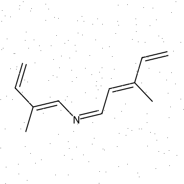 C=C/C(C)=C/C=N\C=C(/C)C=C